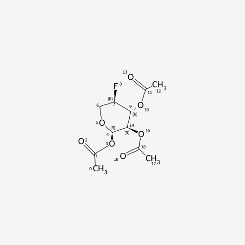 CC(=O)O[C@H]1OC[C@@H](F)[C@H](OC(C)=O)[C@H]1OC(C)=O